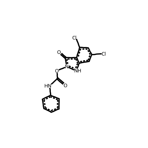 O=C(Nc1ccccc1)On1[nH]c2cc(Cl)cc(Cl)c2c1=O